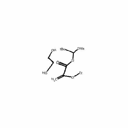 C=C(OCC)C(=O)OC(OC)C(C)(C)C.OCCO